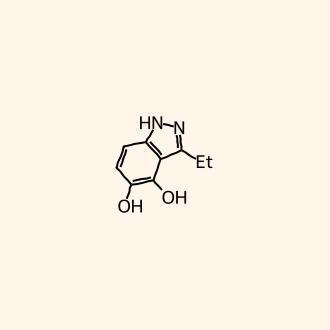 CCc1n[nH]c2ccc(O)c(O)c12